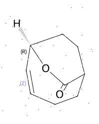 O=C1O[C@H]2/C=C\CCC1CC2